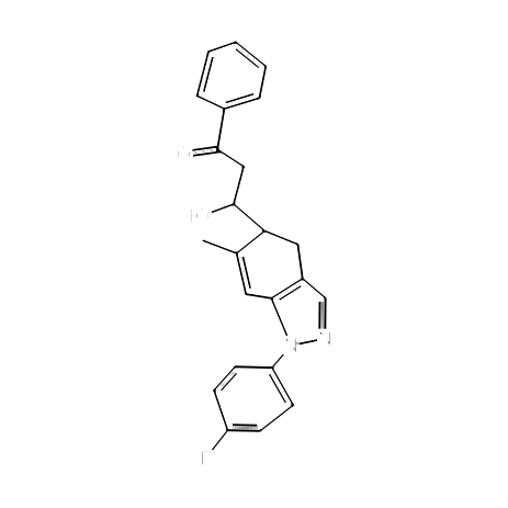 CC1=Cc2c(cnn2-c2ccc(F)cc2)C[C@]1(C)C(O)CC(=O)c1ccccc1